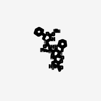 CC(C)CC(NC(=O)[C@H](Cc1ccccc1)NC(=O)[C@@H](CC(C)C)NC(=O)[C@H](CCc1ccccc1)NC(=O)OC(C)(C)C)C(=O)C1(C)CO1